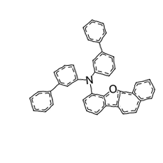 c1ccc(-c2cccc(N(c3cccc(-c4ccccc4)c3)c3cccc4c3oc3c5ccccc5ccc43)c2)cc1